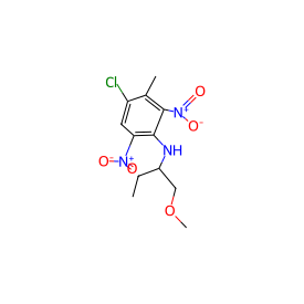 CCC(COC)Nc1c([N+](=O)[O-])cc(Cl)c(C)c1[N+](=O)[O-]